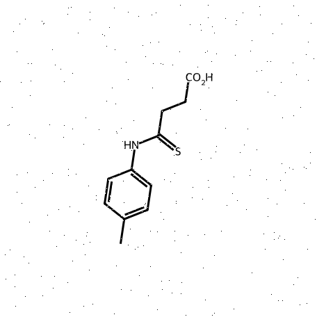 Cc1ccc(NC(=S)CCC(=O)O)cc1